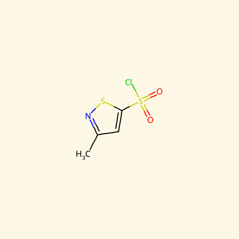 Cc1cc(S(=O)(=O)Cl)sn1